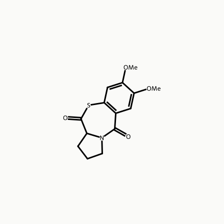 COc1cc2c(cc1OC)C(=O)N1CCCC1C(=O)S2